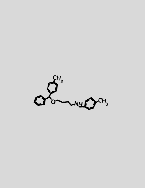 Cc1ccc(CNCCCCOC(c2ccccc2)c2ccc(C)cc2)cc1